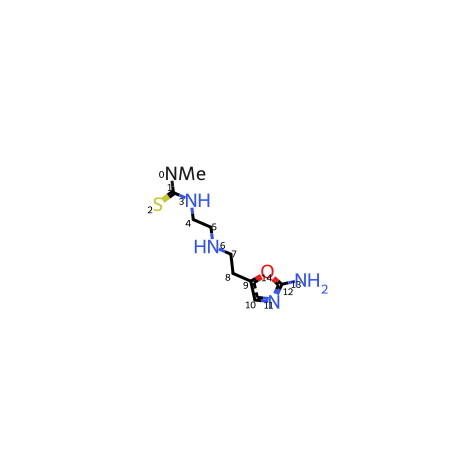 CNC(=S)NCCNCCc1cnc(N)o1